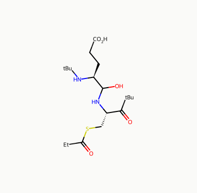 CCC(=O)SC[C@H](NC(O)[C@H](CCC(=O)O)NC(C)(C)C)C(=O)C(C)(C)C